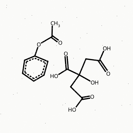 CC(=O)Oc1ccccc1.O=C(O)CC(O)(CC(=O)O)C(=O)O